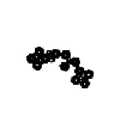 C1=CCCC([Si](C2=CCCC=C2)(C2=CC=CCC2)c2ccc(-c3cccc(N(c4ccccc4)c4cccc(-c5ccc6c(c5)OC5=CC7C8=C(CCC=C8)C8(c9ccccc9-c9ccccc98)C7C=C5O6)c4)c3)cc2)=C1